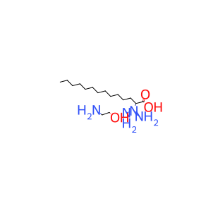 CCCCCCCCCCCCC(C(=O)O)N(N)N.NCCO